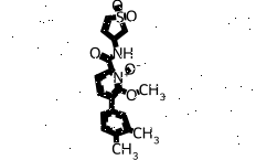 COc1c(-c2ccc(C)c(C)c2)ccc(C(=O)NC2C=CS(=O)(=O)C2)[n+]1[O-]